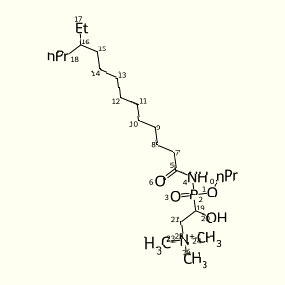 CCCOP(=O)(NC(=O)CCCCCCCCCC(CC)CCC)C(O)C[N+](C)(C)C